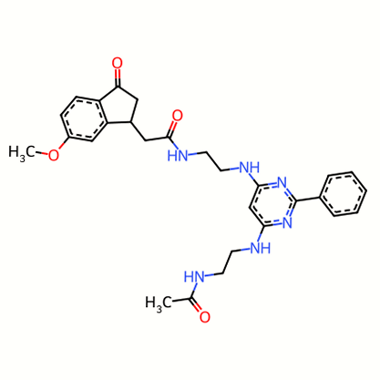 COc1ccc2c(c1)C(CC(=O)NCCNc1cc(NCCNC(C)=O)nc(-c3ccccc3)n1)CC2=O